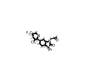 CC(C)n1c(=O)n(CC2CO2)c2cc(-c3ncc(C(F)(F)F)cc3Cl)ccc21